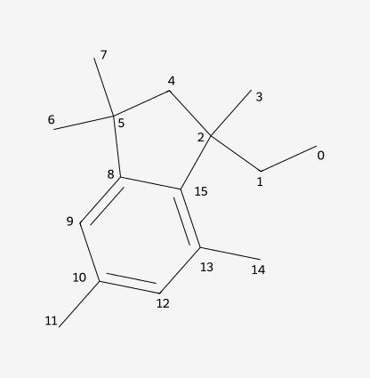 CCC1(C)CC(C)(C)c2cc(C)cc(C)c21